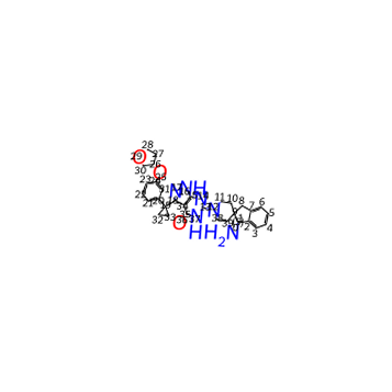 N[C@@H]1c2ccccc2CC12CCN(c1nc3[nH]nc(C4(c5cccc(OC6CCOC6)c5)CC4)c3c(=O)[nH]1)CC2